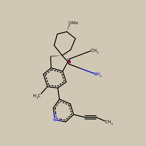 CC#Cc1cncc(-c2cc3c(cc2C)C[C@]2(CC[C@@H](OC)CC2)C32N=C(C)C(N)=N2)c1